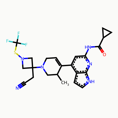 CC1CN(C2(CC#N)CN(SC(F)(F)F)C2)CC=C1c1cc(NC(=O)C2CC2)nc2[nH]ccc12